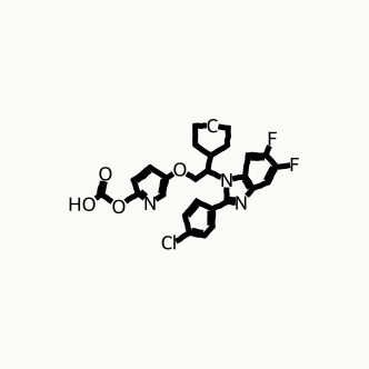 O=C(O)Oc1ccc(OCC(C2CCCCC2)n2c(-c3ccc(Cl)cc3)nc3cc(F)c(F)cc32)cn1